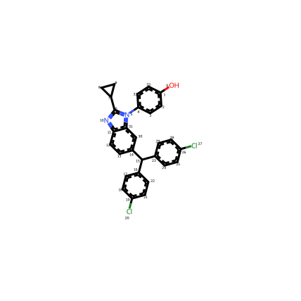 Oc1ccc(-n2c(C3CC3)nc3ccc(C(c4ccc(Cl)cc4)c4ccc(Cl)cc4)cc32)cc1